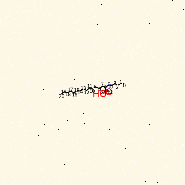 CCCC/C=C/C(CCCCCCCCCCCCCC)C(=O)O